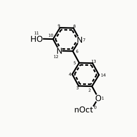 CCCCCCCCOc1ccc(-c2nccc(O)n2)cc1